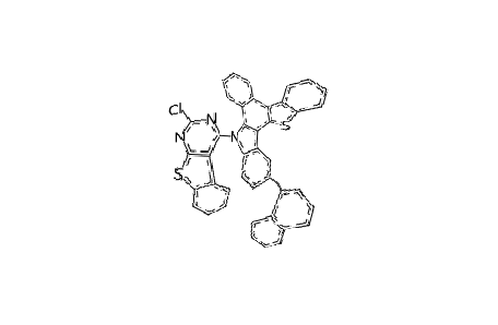 Clc1nc(-n2c3ccc(-c4cccc5ccccc45)cc3c3c4sc5ccccc5c4c4ccccc4c32)c2c(n1)sc1ccccc12